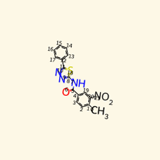 Cc1ccc(C(=O)Nc2nnc(-c3ccccc3)s2)cc1[N+](=O)[O-]